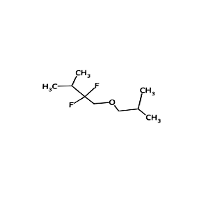 CC(C)COCC(F)(F)C(C)C